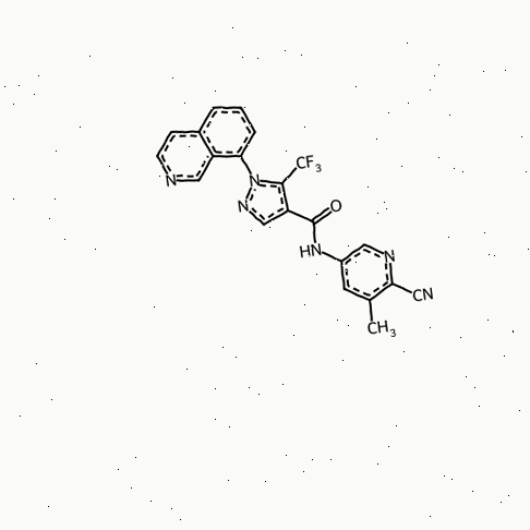 Cc1cc(NC(=O)c2cnn(-c3cccc4ccncc34)c2C(F)(F)F)cnc1C#N